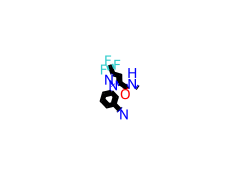 CNC(=O)c1cc(C(F)(F)F)nn1-c1cccc(C#N)c1